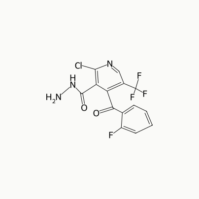 NNC(=O)c1c(Cl)ncc(C(F)(F)F)c1C(=O)c1ccccc1F